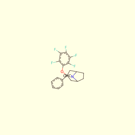 O=CN1C2CCC1CC(Oc1c(F)c(F)c(F)c(F)c1F)(c1ccccc1)C2